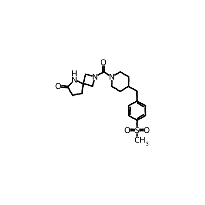 CS(=O)(=O)c1ccc(CC2CCN(C(=O)N3CC4(CCC(=O)N4)C3)CC2)cc1